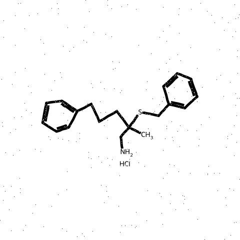 CC(CN)(CCCc1ccccc1)SCc1ccccc1.Cl